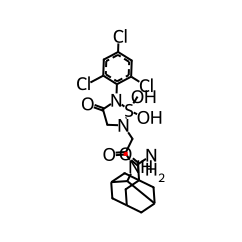 NC(=O)C12CC3CC(C1)C(NC(=O)CN1CC(=O)N(c4c(Cl)cc(Cl)cc4Cl)S1(O)O)C(C3)C2